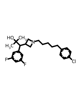 CC(C)(O)C(c1cc(F)cc(F)c1)C1CN(CCCCCc2ccc(Cl)cc2)C1